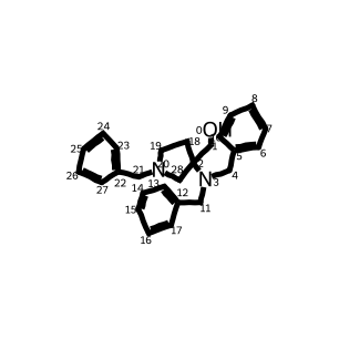 OCC1(N(Cc2ccccc2)Cc2ccccc2)CCN(Cc2ccccc2)C1